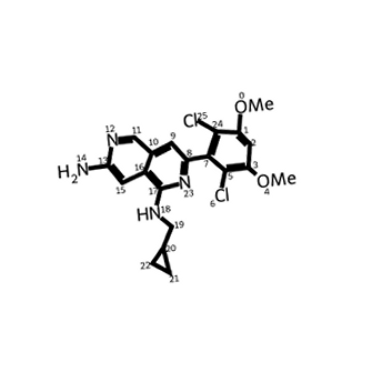 COc1cc(OC)c(Cl)c(-c2cc3cnc(N)cc3c(NCC3CC3)n2)c1Cl